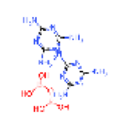 Nc1nc(N)nc(N)n1.Nc1nc(N)nc(N)n1.OB(O)OB(O)O